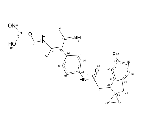 CC(=N)/C(=C(/C)NCOP(O)N=O)c1ccc(NC(=O)CC2c3cc(F)ccc3CC23CC3)cc1